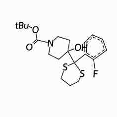 CC(C)(C)OC(=O)N1CCC(O)(C2(c3ccccc3F)SCCCS2)CC1